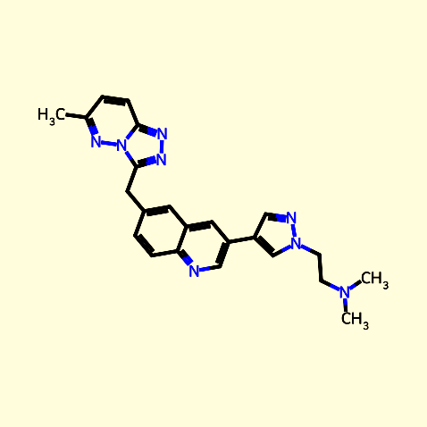 Cc1ccc2nnc(Cc3ccc4ncc(-c5cnn(CCN(C)C)c5)cc4c3)n2n1